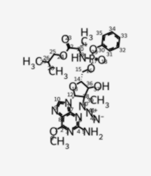 COc1nc(N)nc2c1ncn2[C@@H]1O[C@H](COP(=O)(N[C@@H](C)C(=O)OCC(C)C)Oc2ccccc2)C(O)[C@@]1(C)N=[N+]=[N-]